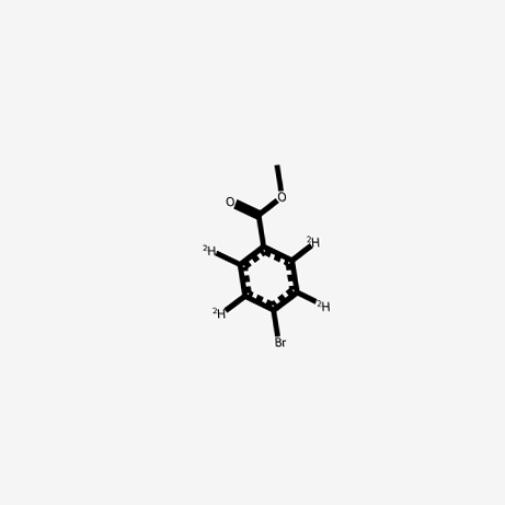 [2H]c1c([2H])c(C(=O)OC)c([2H])c([2H])c1Br